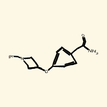 CC(C)N1CC(Oc2ccc(C(N)=O)cc2)C1